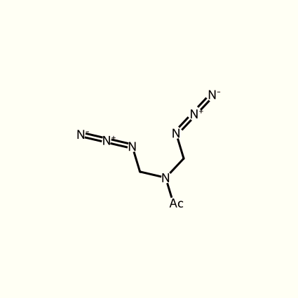 CC(=O)N(CN=[N+]=[N-])CN=[N+]=[N-]